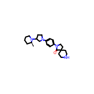 C[C@H]1CCCCN1C1CCN(c2ccc(N3CCC4(CCNCC4)C3=O)cc2)C1